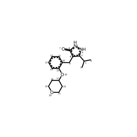 CC(C)c1[nH][nH]c(=O)c1Cc1ccccc1OC1CCOCC1